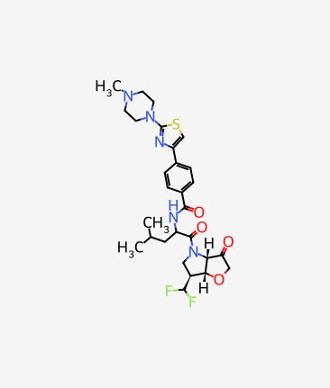 CC(C)CC(NC(=O)c1ccc(-c2csc(N3CCN(C)CC3)n2)cc1)C(=O)N1C[C@H](C(F)F)[C@H]2OCC(=O)[C@H]21